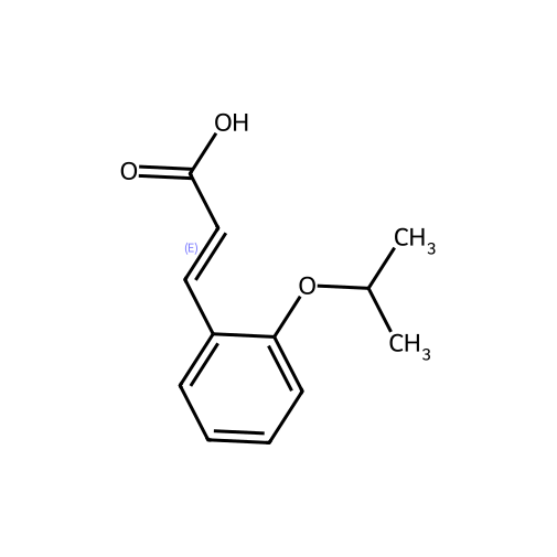 CC(C)Oc1ccccc1/C=C/C(=O)O